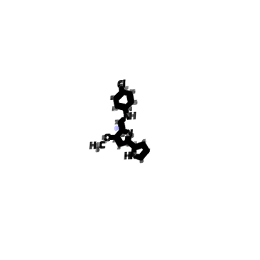 COC1=CC(c2ccc[nH]2)=N/C1=C\Nc1ccc(Cl)cc1